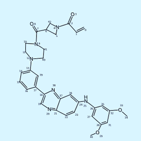 C=CC(=O)N1CC(C(=O)N2CCN(c3cccc(-c4cnc5ccc(Nc6cc(OC)cc(OC)c6)cc5n4)c3)CC2)C1